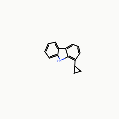 c1ccc2c(c1)[nH]c1c([C]3CC3)cccc12